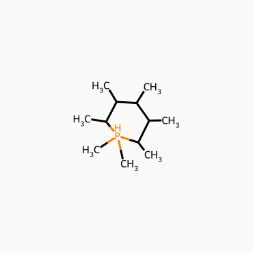 CC1C(C)C(C)[PH](C)(C)C(C)C1C